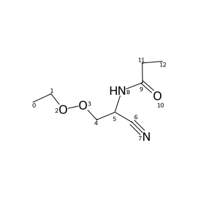 CCOOCC(C#N)NC(=O)CC